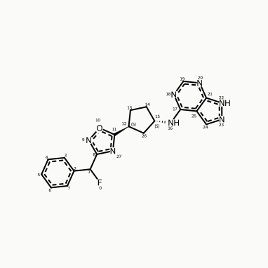 FC(c1ccccc1)c1noc([C@H]2CC[C@H](Nc3ncnc4[nH]ncc34)C2)n1